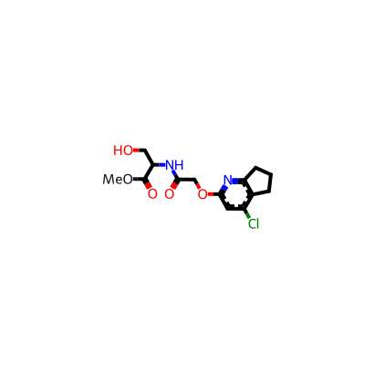 COC(=O)C(CO)NC(=O)COc1cc(Cl)c2c(n1)CCC2